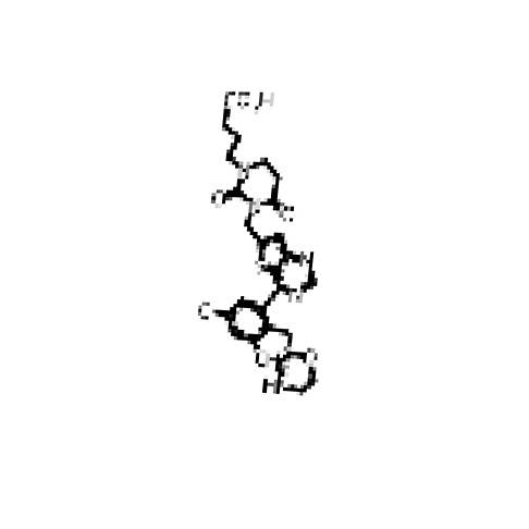 Cc1cc(Cl)cc(-c2ncnc3cc(CN4C(=O)CCN(CCCC(=O)O)C4=O)sc23)c1C[C@@H]1CNCCO1